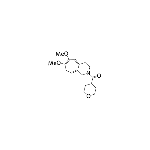 COC1=C(OC)CC=C2CN(C(=O)C3CCOCC3)CCC2=C1